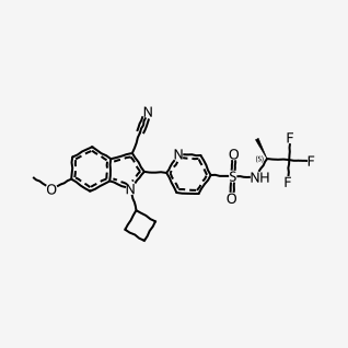 COc1ccc2c(C#N)c(-c3ccc(S(=O)(=O)N[C@@H](C)C(F)(F)F)cn3)n(C3CCC3)c2c1